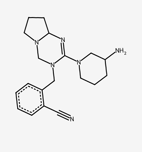 N#Cc1ccccc1CN1CN2CCCC2N=C1N1CCCC(N)C1